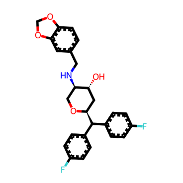 O[C@@H]1C[C@@H](C(c2ccc(F)cc2)c2ccc(F)cc2)OC[C@H]1NCc1ccc2c(c1)OCO2